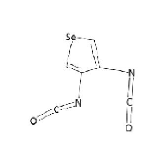 O=C=Nc1c[se]cc1N=C=O